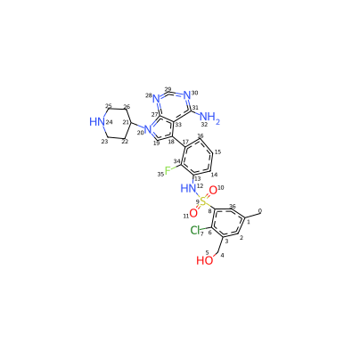 Cc1cc(CO)c(Cl)c(S(=O)(=O)Nc2cccc(-c3cn(C4CCNCC4)c4ncnc(N)c34)c2F)c1